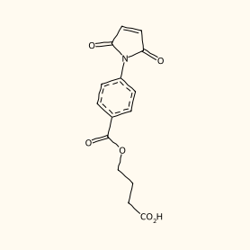 O=C(O)CCCOC(=O)c1ccc(N2C(=O)C=CC2=O)cc1